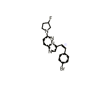 FC1CCN(c2ccc3ncc(/C=C\c4ccc(Br)cc4)n3n2)C1